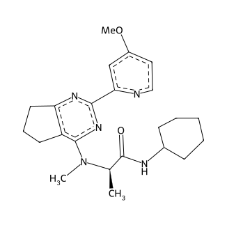 COc1ccnc(-c2nc3c(c(N(C)[C@H](C)C(=O)NC4CCCCC4)n2)CCC3)c1